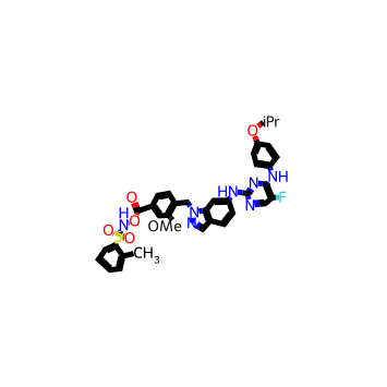 COc1cc(C(=O)ONS(=O)(=O)c2ccccc2C)ccc1Cn1ncc2ccc(Nc3ncc(F)c(Nc4ccc(OC(C)C)cc4)n3)cc21